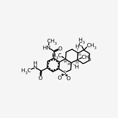 CNC(=O)c1cc(C(=O)NC)c2c(c1)S(=O)(=O)C[C@@H]1[C@@]3(C)CCCC(C)(C)[C@@H]3CC[C@@]21C